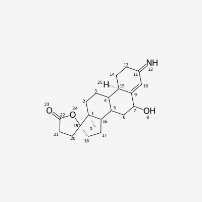 C[C@]12CCC3C(CC(O)C4=CC(=N)CC[C@@H]43)C1CC[C@@]21CCC(=O)O1